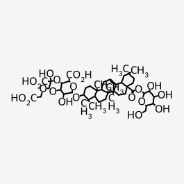 CC1(C)CCC2(C(=O)OC3OC(CO)C(O)C(O)C3O)CCC3(C)C(=CCC4C5(C)CCC(OC6OC(C(=O)O)C7OC(O)(C(=O)O)C(OCC(=O)O)OC7C6O)C(C)(C)C5CCC43C)C2C1